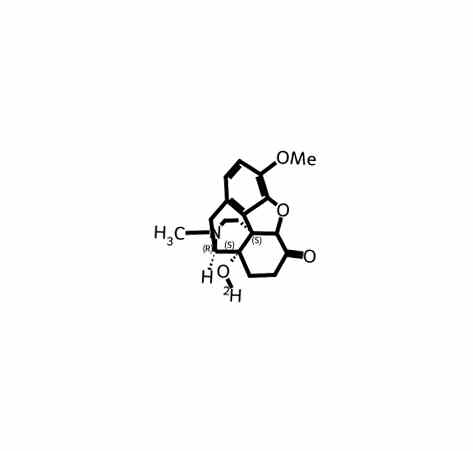 [2H]O[C@@]12CCC(=O)C3Oc4c(OC)ccc5c4[C@@]31CCN(C)[C@@H]2C5